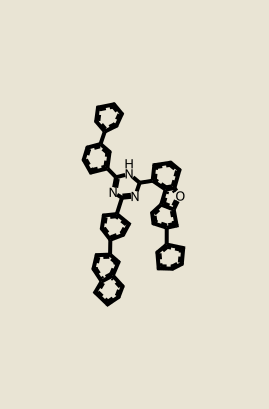 c1ccc(-c2cccc(C3=NC(c4ccc(-c5ccc6ccccc6c5)cc4)=NC(c4cccc5oc6cc(-c7ccccc7)ccc6c45)N3)c2)cc1